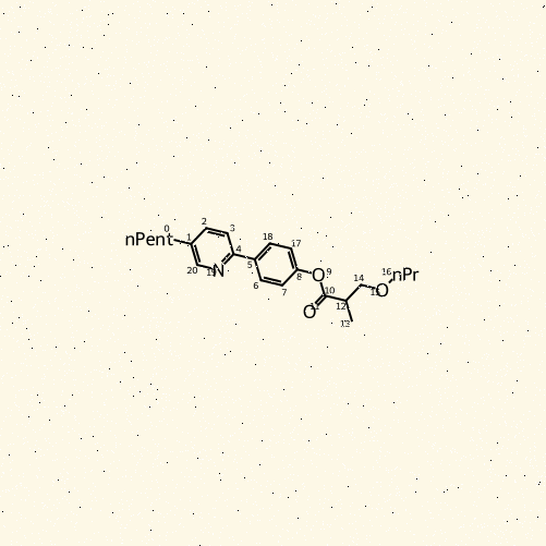 CCCCCc1ccc(-c2ccc(OC(=O)C(C)COCCC)cc2)nc1